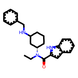 CCN(C(=O)c1cc2ccccc2[nH]1)[C@H]1CCCC(NCc2ccccc2)C1